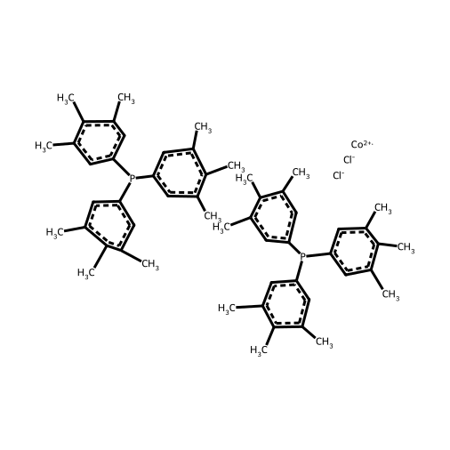 Cc1cc(P(c2cc(C)c(C)c(C)c2)c2cc(C)c(C)c(C)c2)cc(C)c1C.Cc1cc(P(c2cc(C)c(C)c(C)c2)c2cc(C)c(C)c(C)c2)cc(C)c1C.[Cl-].[Cl-].[Co+2]